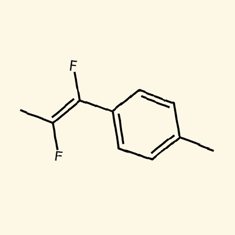 C/C(F)=C(\F)c1ccc(C)cc1